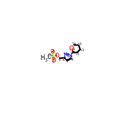 CS(=O)(=O)OCc1ccn(C2CCCCO2)n1